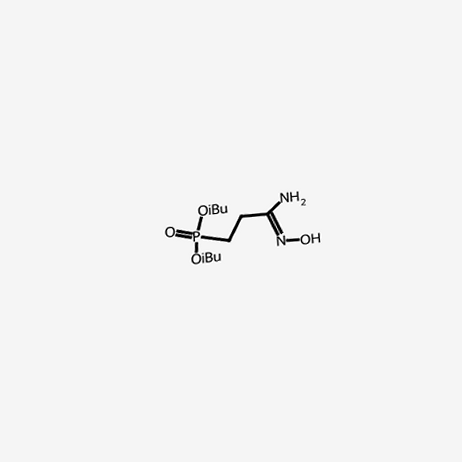 CC(C)COP(=O)(CCC(N)=NO)OCC(C)C